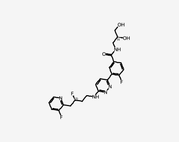 O=C(NC[C@H](O)CO)c1ccc(F)c(-c2ccc(NCC[C@H](F)Cc3ncccc3F)nn2)c1